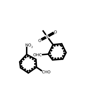 CS(=O)(=O)c1ccccc1C=O.O=Cc1cccc([N+](=O)[O-])c1